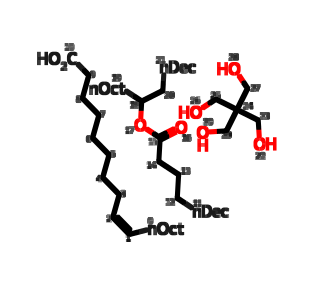 CCCCCCCC/C=C\CCCCCCCC(=O)O.CCCCCCCCCCCCCC(=O)OC(CCCCCCCC)CCCCCCCCCCC.OCC(CO)(CO)CO